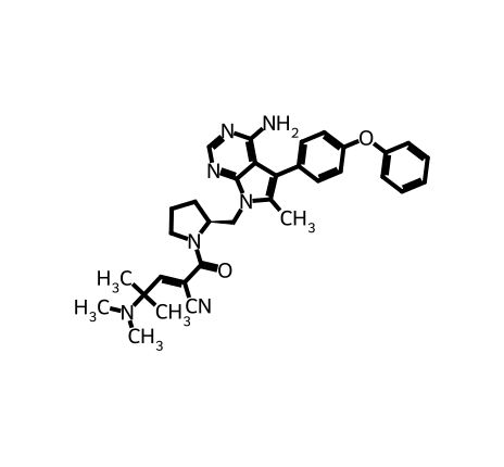 Cc1c(-c2ccc(Oc3ccccc3)cc2)c2c(N)ncnc2n1C[C@@H]1CCCN1C(=O)C(C#N)=CC(C)(C)N(C)C